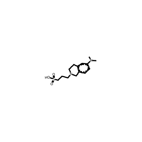 CN(C)c1ccc2c(c1)CCN(CCCS(=O)(=O)O)C2